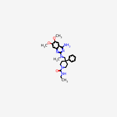 CCNC(=O)N1CCC(CN(C)c2nc(N)c3cc(OC)c(OC)cc3n2)(c2ccccc2)CC1